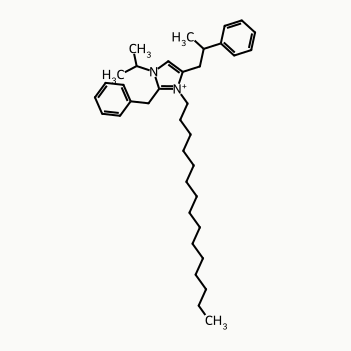 CCCCCCCCCCCCCCC[n+]1c(CC(C)c2ccccc2)cn(C(C)C)c1Cc1ccccc1